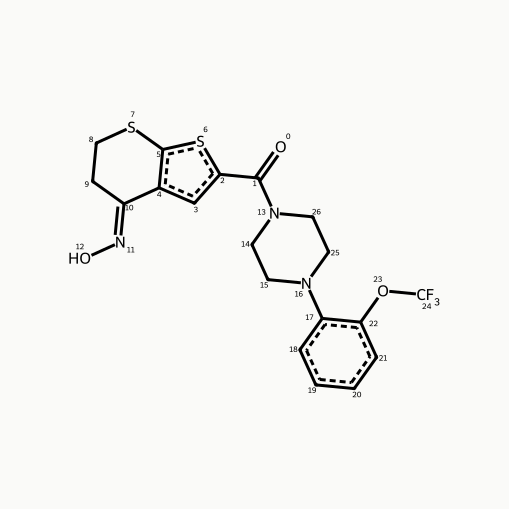 O=C(c1cc2c(s1)SCCC2=NO)N1CCN(c2ccccc2OC(F)(F)F)CC1